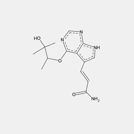 CC(Oc1ncnc2[nH]cc(C=CC(N)=O)c12)C(C)(C)O